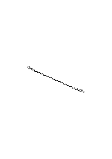 C=CCCCCCCCCCCCCCCCC=CCCCCCCCCCCCCCCCCCC